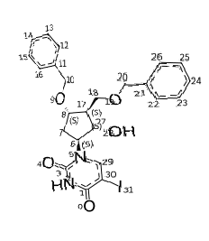 O=c1[nH]c(=O)n([C@H]2C[C@H](OCc3ccccc3)[C@@H](COCc3ccccc3)[C@@H]2O)cc1I